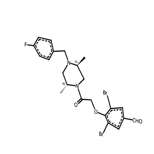 C[C@@H]1CN(Cc2ccc(F)cc2)[C@@H](C)CN1C(=O)COc1c(Br)cc(C=O)cc1Br